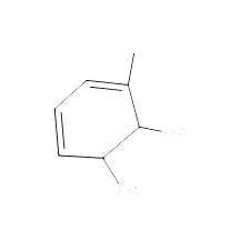 CC(=O)OC1C=CC=C(C)C1OC(C)=O